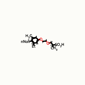 CCCCCCCCCc1c(C)cc(OCCOCC(C)S(=O)(=O)O)cc1CC